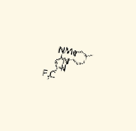 CNc1cc(C(F)(F)F)nn1-c1ccc(C)cc1